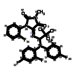 CN1C(=O)/C(=N\C(N(c2ccc(F)cc2F)c2ccc(F)cc2F)C(Cl)(Cl)Cl)N(c2ccccc2F)C1=O